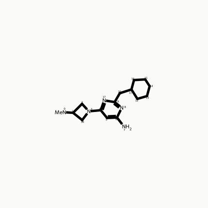 CNC1CN(c2cc(N)nc(CC3CCCCC3)n2)C1